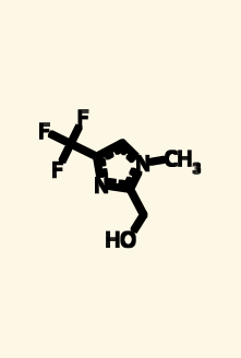 Cn1cc(C(F)(F)F)nc1CO